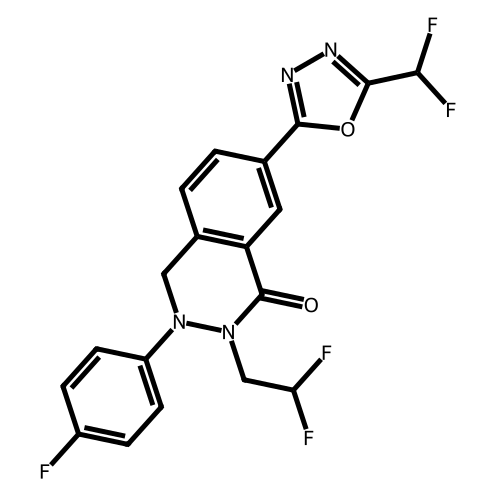 O=C1c2cc(-c3nnc(C(F)F)o3)ccc2CN(c2ccc(F)cc2)N1CC(F)F